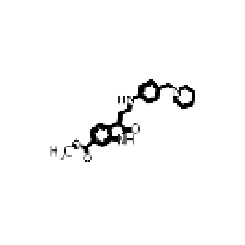 COC(=O)c1ccc2c(c1)NC(=O)C2=CCNc1ccc(CN2CCCCC2)cc1